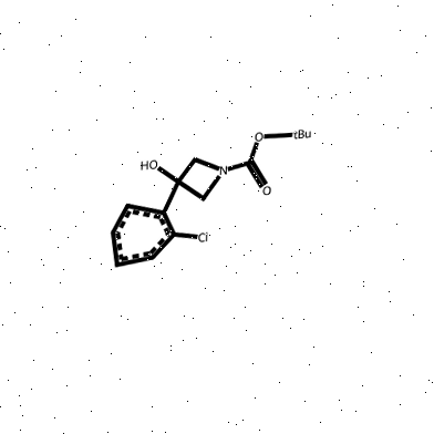 CC(C)(C)OC(=O)N1CC(O)(c2ccccc2Cl)C1